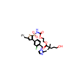 Cc1nccn1Cc1ccc(-c2cc(CC(C)C)sc2S(=O)(=O)NC(=O)OCCOC(=O)C(C)(C)CCCO)cc1F